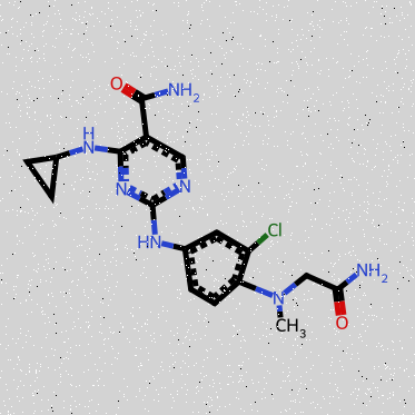 CN(CC(N)=O)c1ccc(Nc2ncc(C(N)=O)c(NC3CC3)n2)cc1Cl